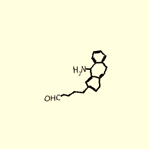 NC1C2=CC(CCCCC=O)=CCC2=CCc2ccccc21